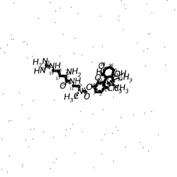 Cc1ccc(OC(=O)N(C)CCNC(=O)[C@@H](N)CCCNC(=N)N)c2c1[C@]13CCN(C)[C@H](C)[C@]1(O)CCC(=O)[C@@H]3O2